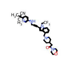 CC(C)(C#N)c1ccc(NCC#Cc2cc3c(CN4CCC(CC(=O)N5CCOCC5)CC4)cccc3n2CC(F)(F)F)cn1